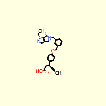 CC#CC(CC(=O)O)c1ccc(OCc2cccc(CN3Cc4cnn(CC)c4C3)c2)cc1